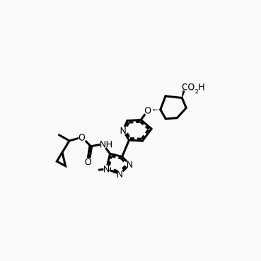 CC(OC(=O)Nc1c(-c2ccc(O[C@H]3CCC[C@H](C(=O)O)C3)cn2)nnn1C)C1CC1